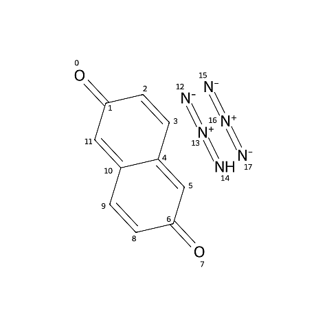 O=C1C=CC2=CC(=O)C=CC2=C1.[N-]=[N+]=N.[N-]=[N+]=[N-]